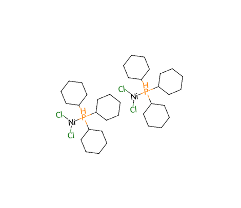 [Cl][Ni]([Cl])[PH](C1CCCCC1)(C1CCCCC1)C1CCCCC1.[Cl][Ni]([Cl])[PH](C1CCCCC1)(C1CCCCC1)C1CCCCC1